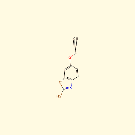 C#CCOc1ccc2nc(S)sc2c1